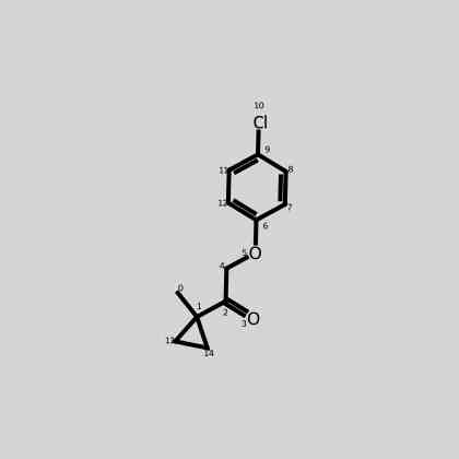 CC1(C(=O)COc2ccc(Cl)cc2)CC1